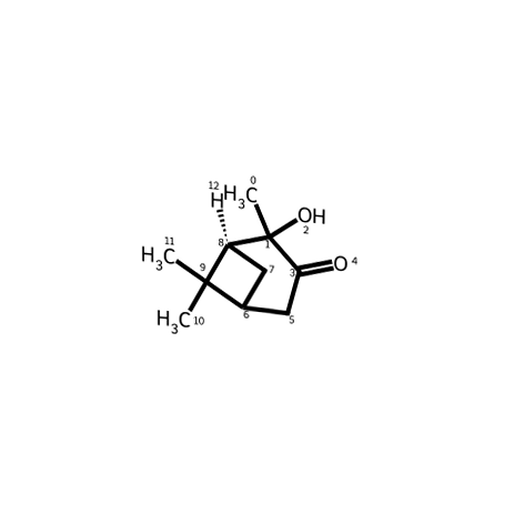 CC1(O)C(=O)CC2C[C@H]1C2(C)C